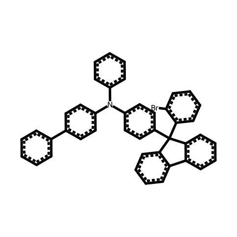 Brc1ccccc1C1(c2ccc(N(c3ccccc3)c3ccc(-c4ccccc4)cc3)cc2)c2ccccc2-c2ccccc21